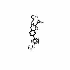 CC1CC1C(=O)N(CCO)Cc1ccc(-c2noc(C(F)(F)F)n2)cc1